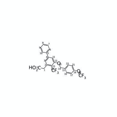 O=C(O)Cc1cc(-c2ccccc2)cc(OCc2ccc(OC(F)(F)F)cc2)c1C(F)(F)F